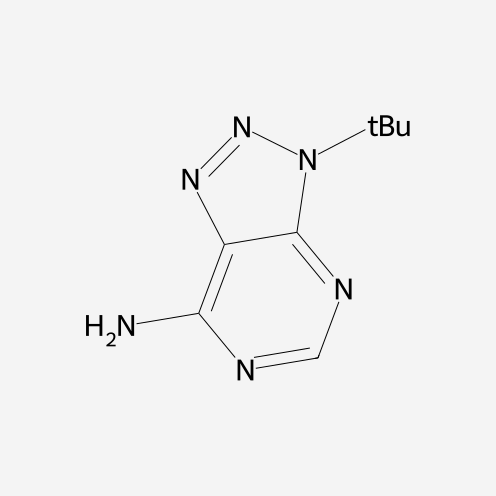 CC(C)(C)n1nnc2c(N)ncnc21